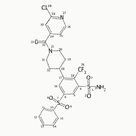 NS(=O)(=O)c1cc(S(=O)(=O)c2ccccc2)cc(C2CCN(C(=O)c3ccnc(Cl)c3)CC2)c1C(F)(F)F